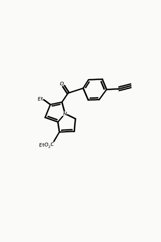 C#Cc1ccc(C(=O)c2c(CC)cc3n2CC=C3C(=O)OCC)cc1